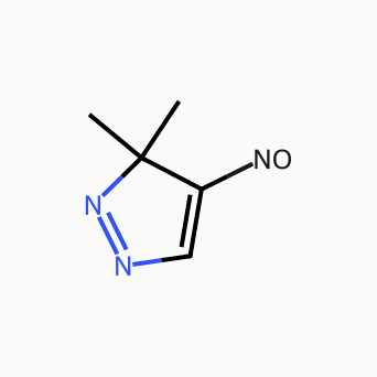 CC1(C)N=NC=C1N=O